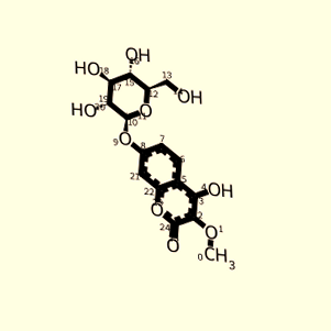 COc1c(O)c2ccc(O[C@@H]3O[C@H](CO)[C@@H](O)[C@H](O)[C@H]3O)cc2oc1=O